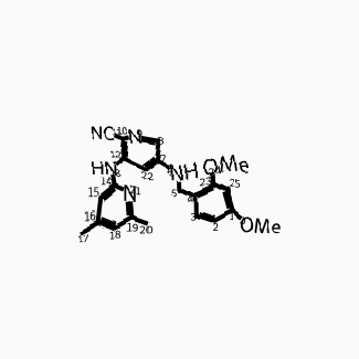 COc1ccc(CNc2cnc(C#N)c(Nc3cc(C)cc(C)n3)c2)c(OC)c1